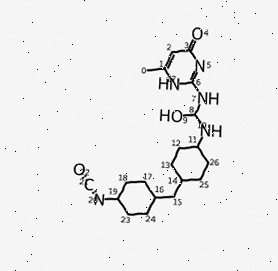 Cc1cc(=O)nc(NC(O)NC2CCC(CC3CCC(N=C=O)CC3)CC2)[nH]1